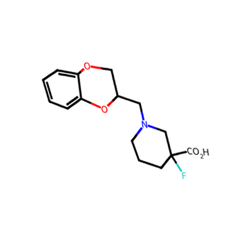 O=C(O)C1(F)CCCN(CC2COc3ccccc3O2)C1